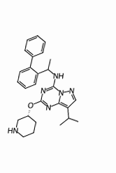 CC(C)c1cnn2c(NC(C)c3ccccc3-c3ccccc3)nc(O[C@@H]3CCCNC3)nc12